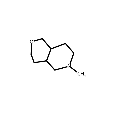 CN1CCC2COCCC2C1